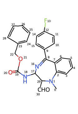 CN1c2ccccc2C(c2ccc(F)cc2)=NC(NC(=O)OCc2ccccc2)C1C=O